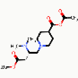 CN(C)[C@@H](CC(=O)OC(C)(C)C)CN1CCC(C(=O)OC(=O)C(F)(F)F)CC1